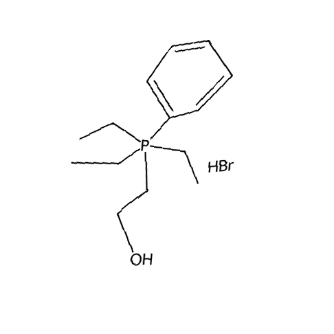 Br.CCP(CC)(CC)(CCO)c1ccccc1